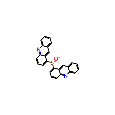 [O-][S+](c1cccc2nc3ccccc3cc12)c1cccc2nc3ccccc3cc12